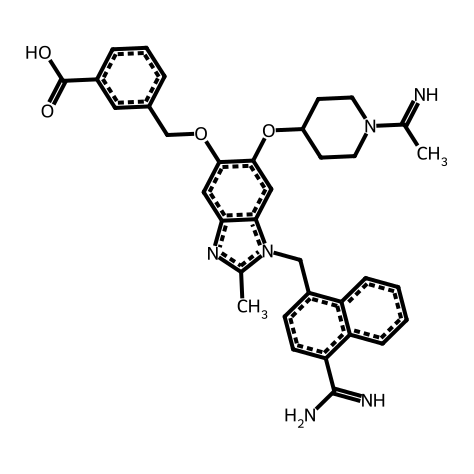 CC(=N)N1CCC(Oc2cc3c(cc2OCc2cccc(C(=O)O)c2)nc(C)n3Cc2ccc(C(=N)N)c3ccccc23)CC1